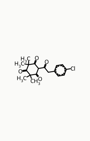 CC1(C)C(=O)C(C(=O)Cc2ccc(Cl)cc2)C(=O)C(C)(C)C1=O